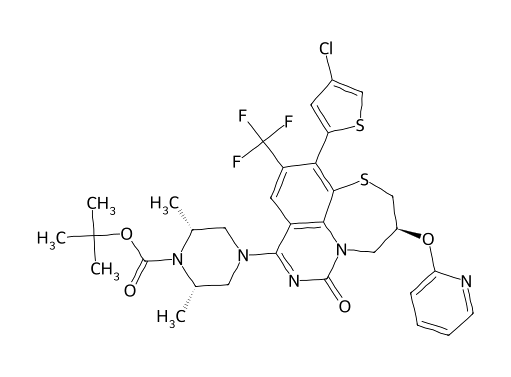 C[C@@H]1CN(c2nc(=O)n3c4c(c(-c5cc(Cl)cs5)c(C(F)(F)F)cc24)SC[C@@H](Oc2ccccn2)C3)C[C@H](C)N1C(=O)OC(C)(C)C